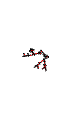 CCCCCCC(CCCCCC)OC(=O)CCCCCCCN(CCCCCCCC(=O)OCCC(CCCCC)CCCCC)CCCNc1c(NCCCCCC(CCCC)CCOC(=O)CCCCCCCN(CCCCCCCC(=O)OCCC(CCCC)CCCC)CCCNc2c(NC)c(=O)c2=O)c(=O)c1=O